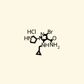 Cl.NC(=O)c1c(Br)nn([C@H]2CCNC2)c1NCC1CC1